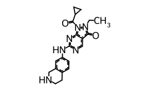 CCn1c(=O)c2cnc(Nc3ccc4c(c3)CNCC4)nc2n1C(=O)C1CC1